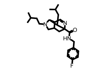 CC(C)CCN1CC2CC3(C(=O)NCc4ccc(F)cc4)N=CC2C1C3CC(C)C